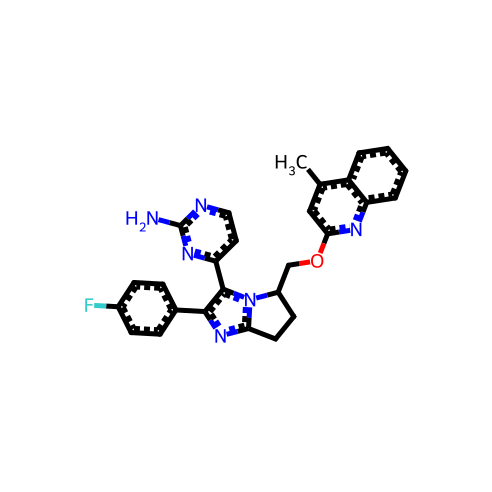 Cc1cc(OCC2CCc3nc(-c4ccc(F)cc4)c(-c4ccnc(N)n4)n32)nc2ccccc12